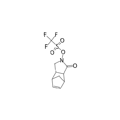 O=C1C2C3C=CC(C3)C2CN1OS(=O)(=O)C(F)(F)F